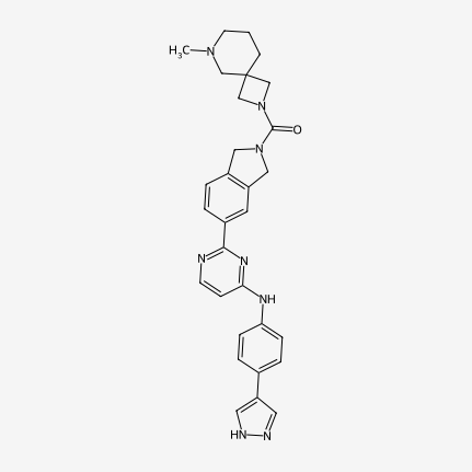 CN1CCCC2(C1)CN(C(=O)N1Cc3ccc(-c4nccc(Nc5ccc(-c6cn[nH]c6)cc5)n4)cc3C1)C2